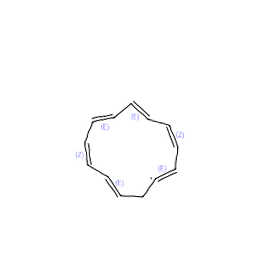 [C]1=C/C=C\C=C\C=C\C=C/C=C/C/1